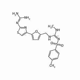 CN/C(=N/S(=O)(=O)c1ccc(C)cc1)NCc1ccc(-c2csc(N=C(N)N)n2)o1